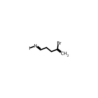 C=C(Br)CC/C=N/I